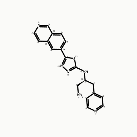 NC[C@H](Cc1ccncc1)Nc1nnc(-c2ccc3cnccc3c2)s1